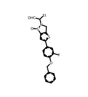 CCC(C=O)N1Cc2sc(-c3ccc(OCc4ccccc4)c(F)c3)cc2[S+]1[O-]